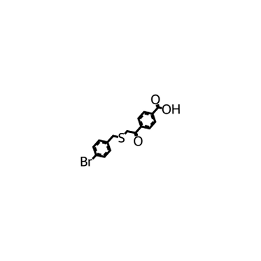 O=C(O)c1ccc(C(=O)CSCc2ccc(Br)cc2)cc1